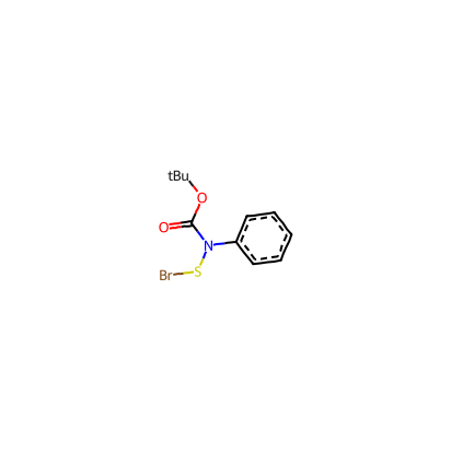 CC(C)(C)OC(=O)N(SBr)c1ccccc1